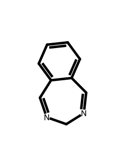 C1=NCN=Cc2ccccc21